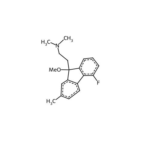 COC1(CCN(C)C)c2cc(C)ccc2-c2c(F)cccc21